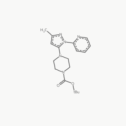 Cc1cc(N2CCN(C(=O)OC(C)(C)C)CC2)n(-c2ccccn2)n1